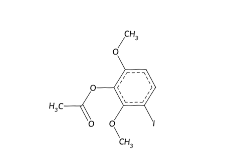 COc1ccc(I)c(OC)c1OC(C)=O